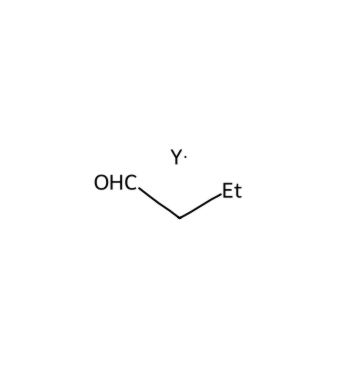 CCCC=O.[Y]